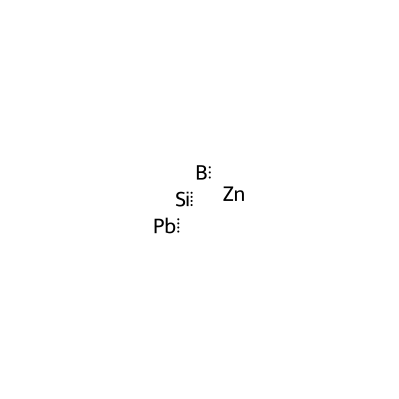 [B].[Pb].[Si].[Zn]